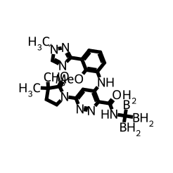 BC(B)(B)NC(=O)c1nnc(N2CCC(C)(C)C2=O)cc1Nc1cccc(-c2ncn(C)n2)c1OC